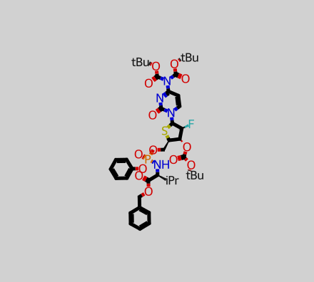 CC(C)[C@H](NP(=O)(OC[C@H]1SC(n2ccc(N(C(=O)OC(C)(C)C)C(=O)OC(C)(C)C)nc2=O)[C@@H](F)[C@@H]1OC(=O)OC(C)(C)C)Oc1ccccc1)C(=O)OCc1ccccc1